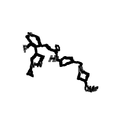 COC1CN(Cc2ccc(NC(=O)C=Cc3cncc(F)c3-c3cnn(C4CC4)c3)cc2)C1